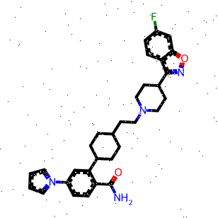 NC(=O)c1ccc(-n2cccc2)cc1C1CCC(CCN2CCC(c3noc4cc(F)ccc34)CC2)CC1